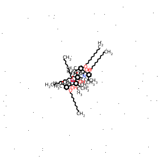 C=CCCCCCCCCCOc1ccc(C(C)(C)C)cc1C(O)(c1cc(C(C)(C)C)ccc1OCCCCCCCCCC=C)[C@@H](C)N=Cc1cc(C)c(CCCCCCCCCC=C)c(C=N[C@H](C)C(O)(c2cc(C(C)(C)C)ccc2OCCCCCCCCCC=C)c2cc(C(C)(C)C)ccc2OCCCCCCCCCC=C)c1O